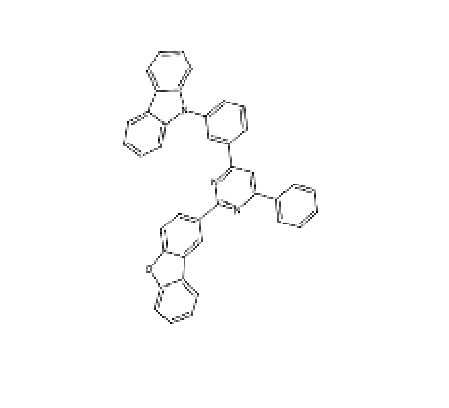 c1ccc(-c2cc(-c3cccc(-n4c5ccccc5c5ccccc54)c3)nc(-c3ccc4oc5ccccc5c4c3)n2)cc1